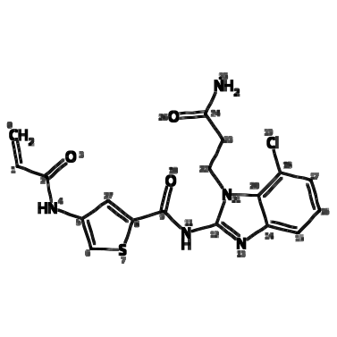 C=CC(=O)Nc1csc(C(=O)Nc2nc3cccc(Cl)c3n2CCC(N)=O)c1